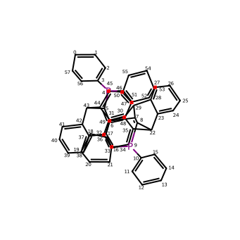 c1ccc(P(C2=C(C3=C(P(c4ccccc4)c4ccccc4)C4c5ccccc5C3c3ccccc34)C3c4ccccc4C2c2ccccc23)c2ccccc2)cc1